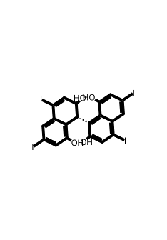 Oc1cc(I)cc2c1[C@@H](c1c(O)cc(I)c3cc(I)cc(O)c13)C(O)C=C2I